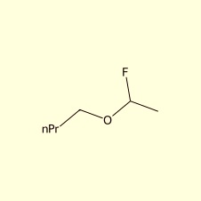 CCCCOC(C)F